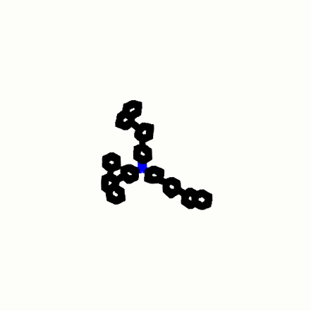 c1ccc(-c2ccc3ccccc3c2-c2ccc(N(c3ccc(-c4ccc(-c5ccc6ccccc6c5)cc4)cc3)c3ccc(-c4cccc(-c5cccc6ccccc56)c4)cc3)cc2)cc1